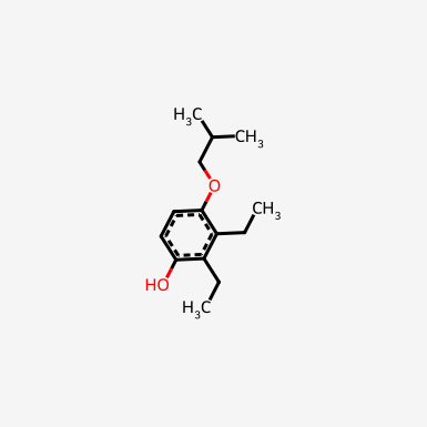 CCc1c(O)ccc(OCC(C)C)c1CC